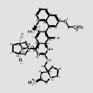 C#Cc1cccc2cc(OCOC)cc(-c3c(F)cc4c(N5C[C@H]6CC[C@@H](C5)N6C(=O)O)nc(OCC56CCCN5CC(=C)C6)nc4c3F)c12